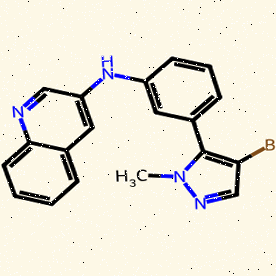 Cn1ncc(Br)c1-c1cccc(Nc2cnc3ccccc3c2)c1